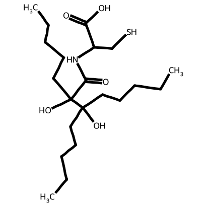 CCCCCC(O)(CCCCC)C(O)(CCCCC)C(=O)NC(CS)C(=O)O